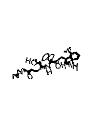 CN(C)c1cccc2[nH]cc(C[C@H](O)C(=O)N[C@@H](CCC(=O)C=[N+]=[N-])C(=O)O)c12